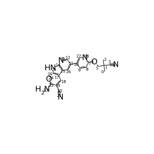 CC(C)(C#N)COc1ccc(-c2cnc3[nH]cc(C=C(C#N)C(N)=O)c3c2)cn1